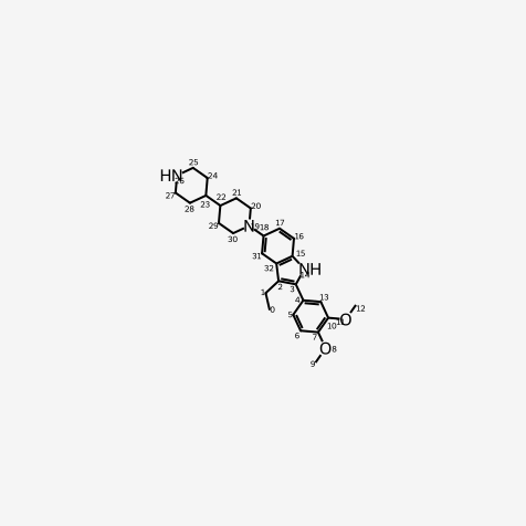 CCc1c(-c2ccc(OC)c(OC)c2)[nH]c2ccc(N3CCC(C4CCNCC4)CC3)cc12